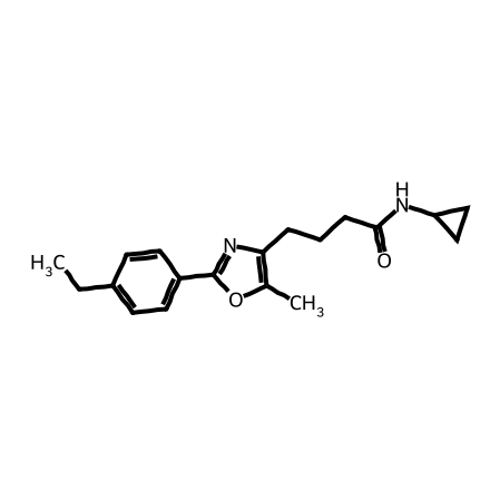 CCc1ccc(-c2nc(CCCC(=O)NC3CC3)c(C)o2)cc1